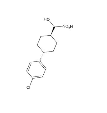 O=S(=O)(O)C(O)[C@H]1CC[C@H](c2ccc(Cl)cc2)CC1